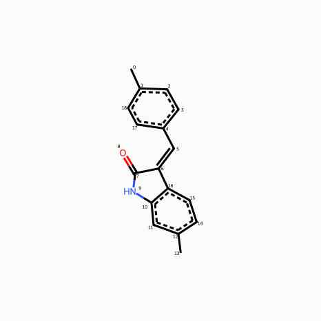 Cc1ccc(C=C2C(=O)Nc3cc(C)ccc32)cc1